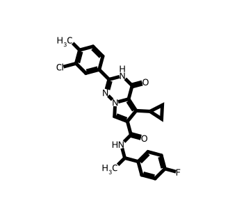 Cc1ccc(-c2nn3cc(C(=O)NC(C)c4ccc(F)cc4)c(C4CC4)c3c(=O)[nH]2)cc1Cl